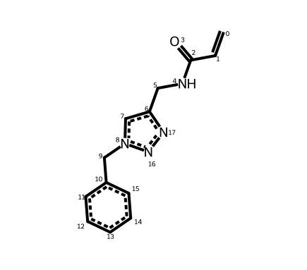 C=CC(=O)NCc1cn(Cc2ccccc2)nn1